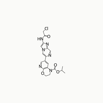 CC(C)OC(=O)N1CCOc2ncc(-c3cn4cc(NC(=O)CCl)nc4cn3)cc21